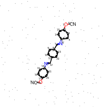 N#COc1ccc(N=Cc2ccc(C=Nc3ccc(OC#N)cc3)cc2)cc1